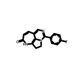 O=C1C=CC2=CN=C(c3ccc(F)cc3)N3CCC(=C23)N1